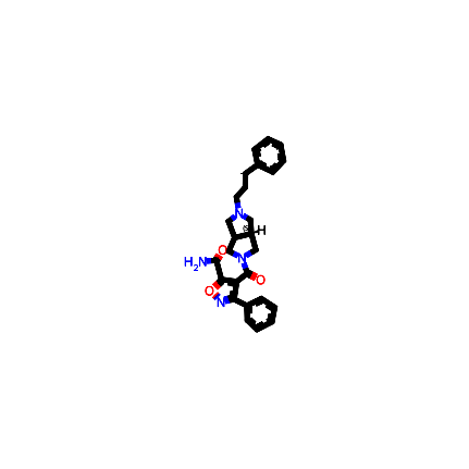 NC(=O)c1onc(-c2ccccc2)c1C(=O)N1CC2CN(CC[CH]c3ccccc3)C[C@H]2C1